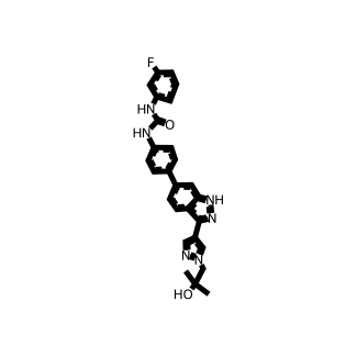 CC(C)(O)Cn1cc(-c2n[nH]c3cc(-c4ccc(NC(=O)Nc5cccc(F)c5)cc4)ccc23)cn1